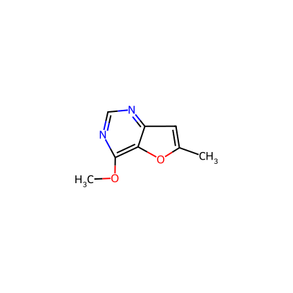 COc1ncnc2cc(C)oc12